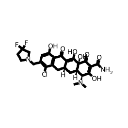 CN(C)[C@@H]1C(O)=C(C(N)=O)C(=O)[C@@]2(O)C(O)=C3C(=O)c4c(O)cc(CN5CCC(F)(F)C5)c(Cl)c4C[C@H]3C[C@@H]12